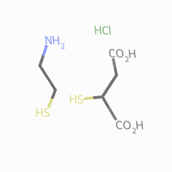 Cl.NCCS.O=C(O)CC(S)C(=O)O